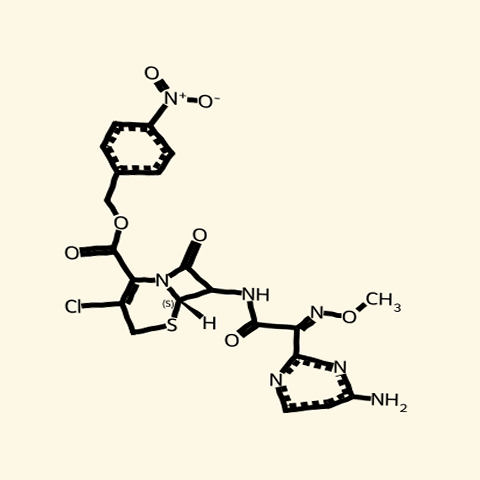 CON=C(C(=O)NC1C(=O)N2C(C(=O)OCc3ccc([N+](=O)[O-])cc3)=C(Cl)CS[C@@H]12)c1nccc(N)n1